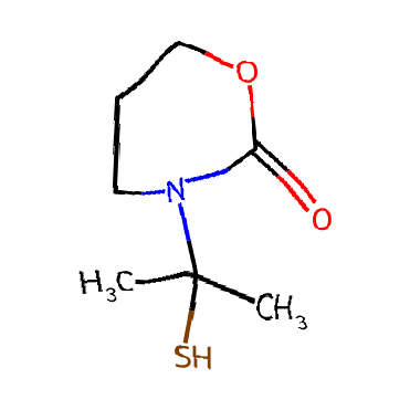 CC(C)(S)N1CCCOC1=O